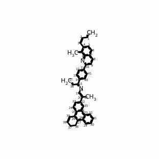 C=C/C=C\c1ccc2ccc(-c3ccc(/C(C=C)=N/C=C(\C)c4ccc5c6c(c7ccccc7c5c4)CCC=C6)cc3)nc2c1C